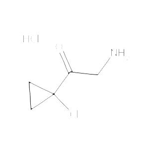 Cl.NCC(=O)C1(Cl)CC1